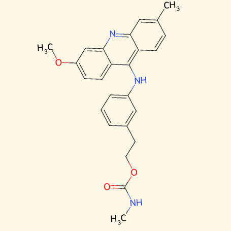 CNC(=O)OCCc1cccc(Nc2c3ccc(C)cc3nc3cc(OC)ccc23)c1